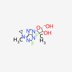 CN(c1nc(F)nc2c1ncn2[C@@H]1O[C@H](CO)[C@@H](O)[C@@]1(C)F)C1CC1